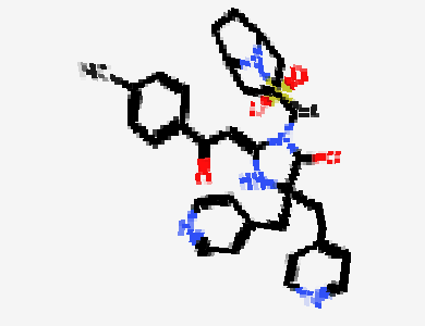 CCS(=O)(=O)N1C2CCC1CC(CN1C(=O)C(Cc3ccncc3)(Cc3ccncc3)NC1=CC(=O)c1ccc(C#N)cc1)C2